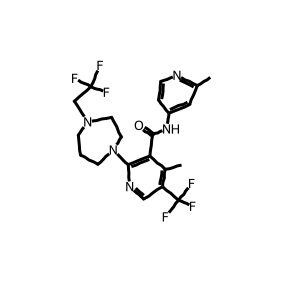 Cc1cc(NC(=O)c2c(N3CCCN(CC(F)(F)F)CC3)ncc(C(F)(F)F)c2C)ccn1